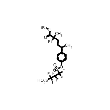 CCC(C)(CCC(C)c1ccc(OS(=O)(=O)C(F)(F)C(F)(F)C(F)(F)S(=O)(=O)O)cc1)C(=O)OC(C)(C)C